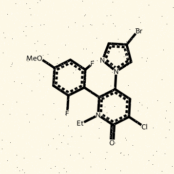 CCn1c(-c2c(F)cc(OC)cc2F)c(-n2cc(Br)cn2)cc(Cl)c1=O